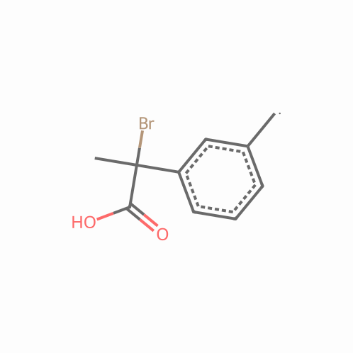 [CH2]c1cccc(C(C)(Br)C(=O)O)c1